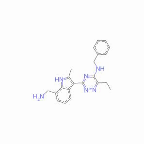 CCc1nnc(-c2c(C)[nH]c3c(CN)cccc23)nc1NCc1ccccc1